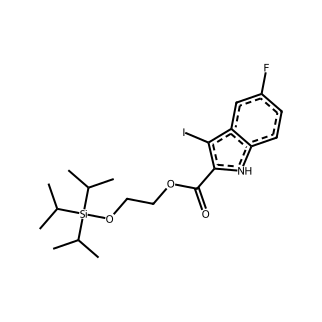 CC(C)[Si](OCCOC(=O)c1[nH]c2ccc(F)cc2c1I)(C(C)C)C(C)C